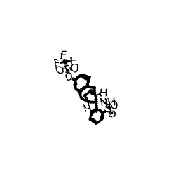 O=S1(=O)N[C@@]2(c3ccccc31)[C@@H]1CC[C@H]2Cc2ccc(OS(=O)(=O)C(F)(F)F)cc2C1